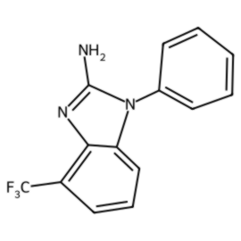 Nc1nc2c(C(F)(F)F)cccc2n1-c1ccccc1